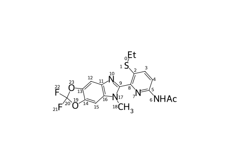 CCSc1ccc(NC(C)=O)nc1-c1nc2cc3c(cc2n1C)OC(F)(F)O3